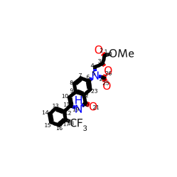 COC(=O)C1CN(c2ccc3cc(-c4ccccc4C(F)(F)F)[nH]c(=O)c3c2)C(=O)O1